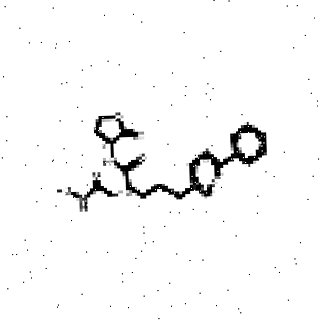 O=C(C[C@@H](CCCc1ccc(-c2ccccc2)cc1)C(=O)N[C@H]1CCOC1=O)NO